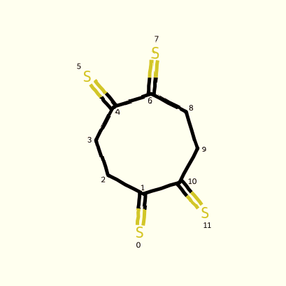 S=C1CCC(=S)C(=S)CCC1=S